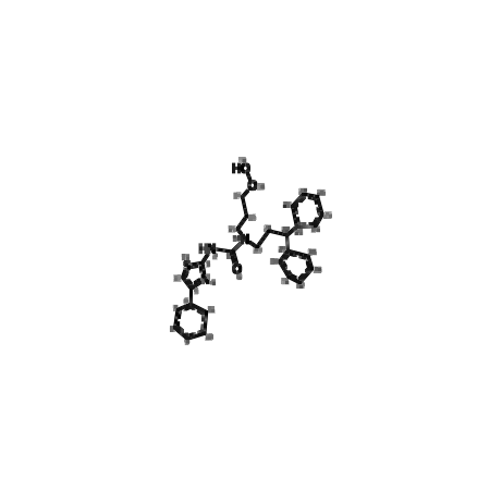 O=C(Nc1nc(-c2ccccc2)cs1)N(CCCOO)CCC(c1ccccc1)c1ccccc1